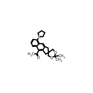 CC(=O)c1c2c(cc3c(N4CCCC4)cccc13)CC1(COC(C)(C)OC1)C2